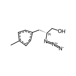 Cc1ccc(C[C@H](CO)N=[N+]=[N-])cc1